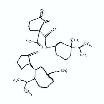 CC(C)C1(C)CCCC(OC(=O)[C@]2(C(=O)O)CCC(=O)N2)C1.CC1CCC(C(C)C)[C@@H](N2CCCC2=O)C1